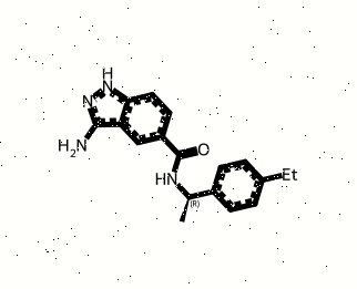 CCc1ccc([C@@H](C)NC(=O)c2ccc3[nH]nc(N)c3c2)cc1